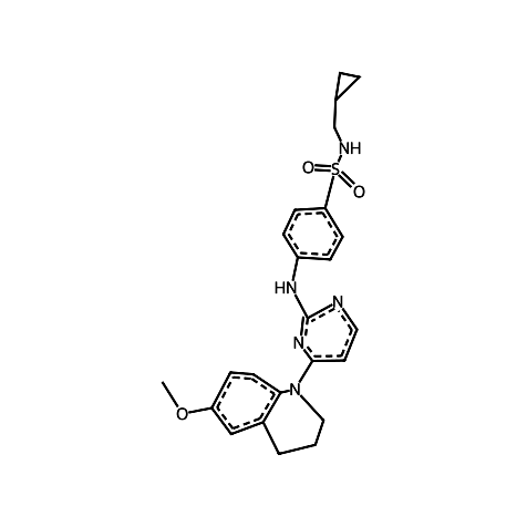 COc1ccc2c(c1)CCCN2c1ccnc(Nc2ccc(S(=O)(=O)NCC3CC3)cc2)n1